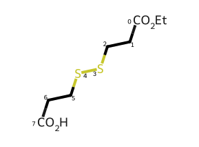 CCOC(=O)CCSSCCC(=O)O